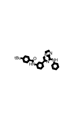 CC(C)(C)c1ccc(C(=O)Nc2cccc(-c3cn4ccnc4c(Nc4ccccc4)n3)c2)cc1